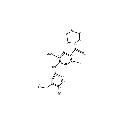 CCNc1cc(Nc2cc(F)c(C(=O)N3CCOCC3)cc2OC)ncc1C#N